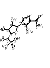 NC(=O)c1ncn(C2O[C@H](C(O)P(=O)(O)O)[C@@H](O)[C@H]2O)c1N